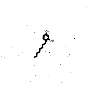 CCCCCCCCc1ccc(O)cc1O